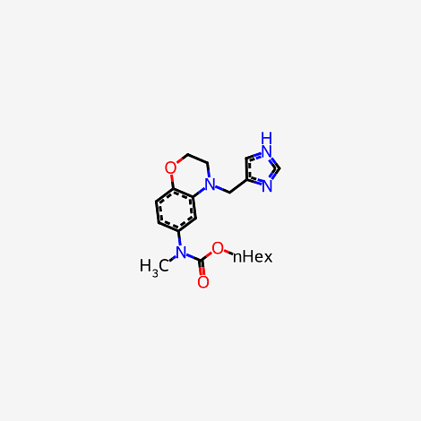 CCCCCCOC(=O)N(C)c1ccc2c(c1)N(Cc1c[nH]cn1)CCO2